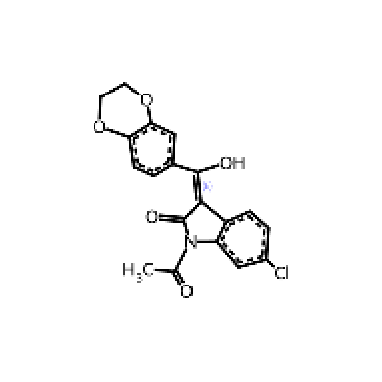 CC(=O)N1C(=O)/C(=C(/O)c2ccc3c(c2)OCCO3)c2ccc(Cl)cc21